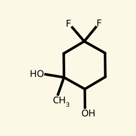 CC1(O)CC(F)(F)CCC1O